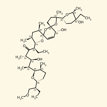 CC[C@@H](COC)[C@H]1CC[C@H](C)[C@H]([C@@H](C)[C@H](O)[C@H](C)C(=O)[C@H](CC)[C@H]2O[C@]3(C=C[C@@H](O)[C@]4(CC[C@@](C)([C@H]5CC[C@](O)(CC)[C@H](C)O5)O4)O3)[C@H](C)C[C@@H]2C)O1